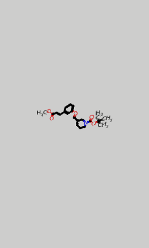 COC(=O)CCc1cccc(OCC2CCCN(C(=O)OC(C)(C)C)C2)c1